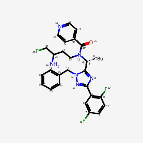 CC(C)(C)[C@H](c1nc(-c2cc(F)ccc2F)nn1Cc1ccccc1)N(CCC(N)CF)C(=O)c1ccncc1